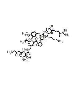 COc1ccc(C[C@H](NC(=O)[C@@H]2CCCN2C(=O)[C@@H](CCCN)NC(=O)CNC(=O)[C@@H](NC(=O)C[C@@H](O)CN)[C@@H](O)CN)C(=O)N[C@@H](CCCCN)C(=O)N/C(=C\CCNC(=N)N)C(=O)O)cc1OC